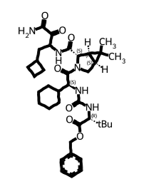 CC(C)(C)[C@@H](NC(=O)N[C@H](C(=O)N1C[C@H]2[C@@H]([C@H]1C(=O)NC(CC1CCC1)C(=O)C(N)=O)C2(C)C)C1CCCCC1)C(=O)OCc1ccccc1